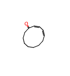 O=C1C=CC=CCCCCCCC1